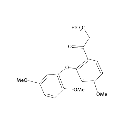 CCOC(=O)CC(=O)c1ccc(OC)cc1Oc1cc(OC)ccc1OC